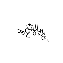 CCOc1cc(OCC)c(NC(=O)Nc2nnc(C(F)(F)F)s2)cc1Cl